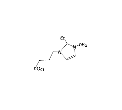 CCCCCCCCCCCN1C=CN(CCCC)C1CC